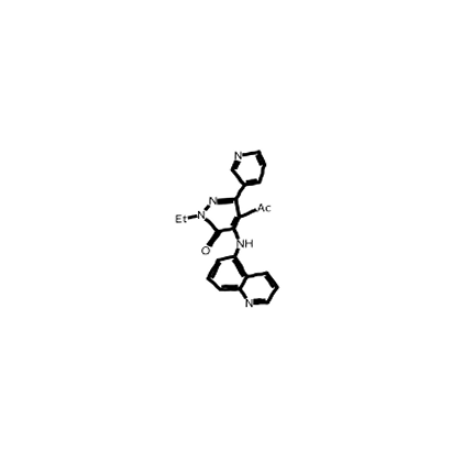 CCn1nc(-c2cccnc2)c(C(C)=O)c(Nc2cccc3ncccc23)c1=O